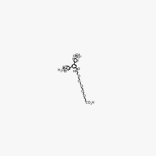 CS(=O)(=O)c1ncc(-c2cc(C(=O)NCCOCCOCCOCCOCCOCCCC(=O)O)cc(-c3cnc(S(C)(=O)=O)nc3)c2)cn1